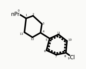 CCCC1CCC(c2ccc(Cl)cc2)CC1